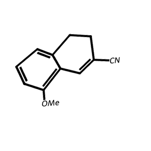 COc1cccc2c1C=C(C#N)CC2